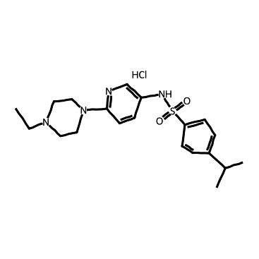 CCN1CCN(c2ccc(NS(=O)(=O)c3ccc(C(C)C)cc3)cn2)CC1.Cl